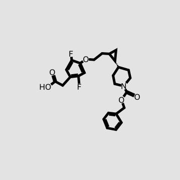 O=C(O)Cc1cc(F)c(OCCC2C[C@@H]2C2CCN(C(=O)OCc3ccccc3)CC2)cc1F